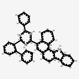 c1ccc(-c2nc(-c3ccccc3-c3ccccc3)nc(-c3cc4ccc5c6ccccc6[se]c5c4c4ccccc34)n2)cc1